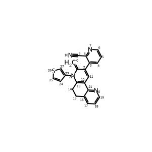 C=C1C(c2cccnc2C#N)=CC2=C(CCc3cccnc32)N1c1ccsc1